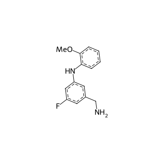 COc1ccccc1Nc1cc(F)cc(CN)c1